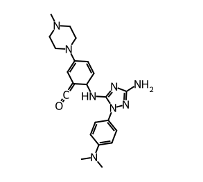 CN1CCN(C2=CC(=C=O)C(Nc3nc(N)nn3-c3ccc(N(C)C)cc3)C=C2)CC1